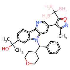 BC(B)(B)c1onc(C)c1-c1cnc2c3ccc(C(C)(C)O)cc3n([C@H](c3ccccc3)C3CCOCC3)c2c1